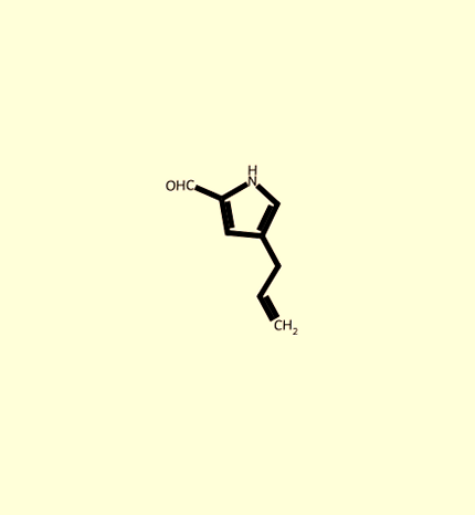 C=CCc1c[nH]c(C=O)c1